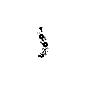 Cc1ccc(S(=O)(=O)NC(=O)Nc2ccc(-n3cnc4cc(NCC5CC5)ccc4c3=O)c(F)c2)s1